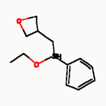 CCO[SiH](CC1COC1)c1ccccc1